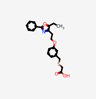 CCc1oc(-c2ccccc2)nc1CCOc1cccc(CSCC(=O)O)c1